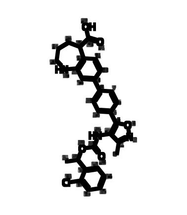 Cc1noc(-c2ccc(-c3ccc4c(c3)NCCCC4C(=O)O)cc2)c1NC(=O)OC(C)c1ccccc1Cl